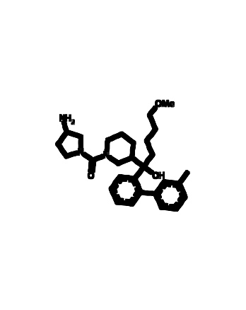 COCCCCC(O)(c1ccccc1-c1cccc(C)c1)C1CCCN(C(=O)N2CCC(N)C2)C1